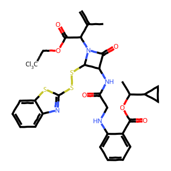 C=C(C)C(C(=O)OCC(Cl)(Cl)Cl)N1C(=O)C(NC(=O)CNc2ccccc2C(=O)OC(C)C2CC2)C1SSc1nc2ccccc2s1